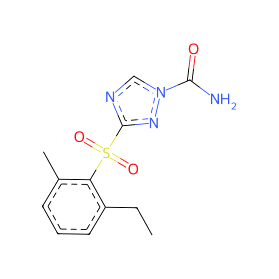 CCc1cccc(C)c1S(=O)(=O)c1ncn(C(N)=O)n1